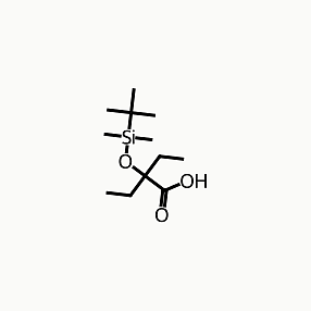 CCC(CC)(O[Si](C)(C)C(C)(C)C)C(=O)O